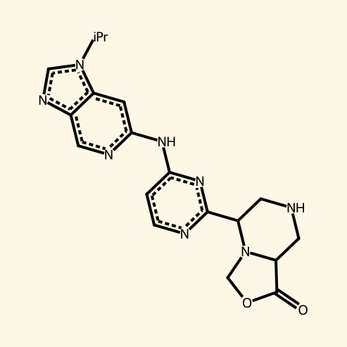 CC(C)n1cnc2cnc(Nc3ccnc(C4CNCC5C(=O)OCN54)n3)cc21